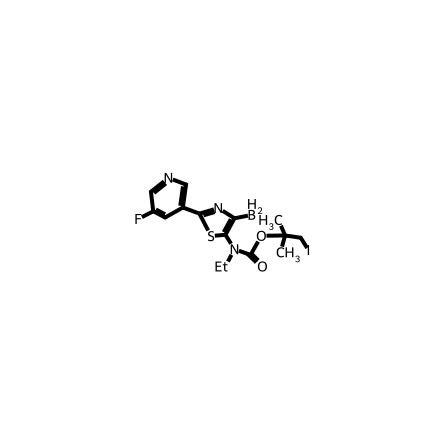 Bc1nc(-c2cncc(F)c2)sc1N(CC)C(=O)OC(C)(C)CI